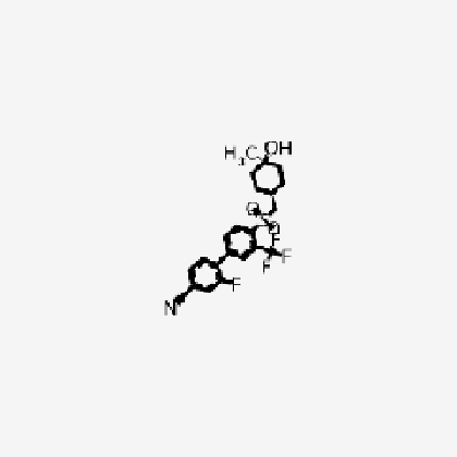 C[C@]1(O)CC[C@@H](CS(=O)(=O)c2ccc(-c3ccc(C#N)cc3F)cc2C(F)(F)F)CC1